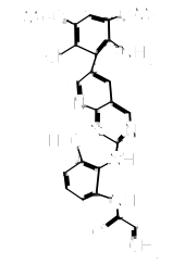 C=CC(=O)Nc1cccc(C)c1Nc1ncc2cc(-c3c(N)c(OC)cc(OC)c3Cl)cnc2n1